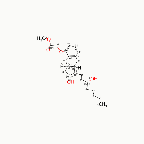 CCCCC[C@@H](O)CC[C@@H]1[C@H]2Cc3cccc(OCC(=O)OC)c3C[C@H]2C[C@H]1O